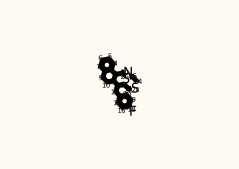 N#CC1c2ccccc2CCC1C(Cc1ccc(F)cc1)C1CSCCS1